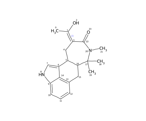 C/C(O)=C1\CC2c3c[nH]c4cccc(c34)CC2C(C)(C)N(C)C1=O